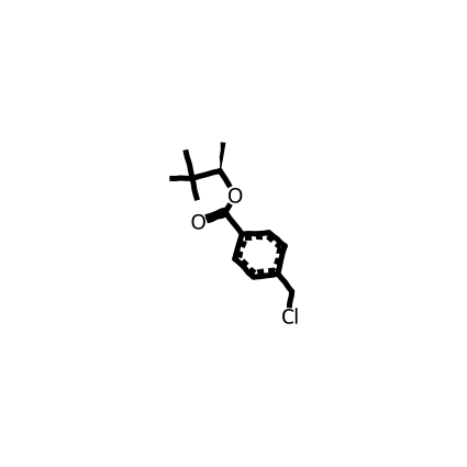 C[C@@H](OC(=O)c1ccc(CCl)cc1)C(C)(C)C